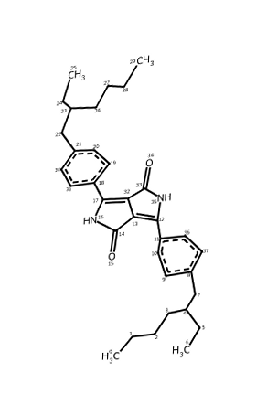 CCCCC(CC)Cc1ccc(C2=C3C(=O)NC(c4ccc(CC(CC)CCCC)cc4)=C3C(=O)N2)cc1